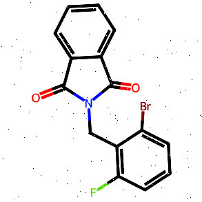 O=C1c2ccccc2C(=O)N1Cc1c(F)cccc1Br